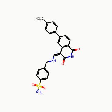 NS(=O)(=O)c1ccc(CN/C=C2\C(=O)NC(=O)c3ccc(-c4ccc(C(=O)O)cc4)cc32)cc1